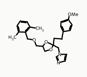 COc1ccc(CCC2(Cn3ccnc3)OCC(COCc3c(C)cccc3C)O2)cc1